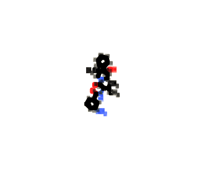 CC(C)[C@@H](NC(=O)c1cccc(N)c1)C(=O)N1CC[C@](O)(c2ccccc2)C(C)(C)C1